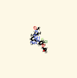 C=CC(=O)N1C[C@@H]2C[C@H]1CN2c1ccc2ncnc(Nc3ccc(OCC45CC(C4)C5)c(Cl)c3F)c2n1